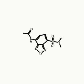 CC(=O)Nc1ccc(S(=O)(=O)N(C)C)c2nonc12